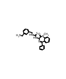 CN1C(=O)C(NC(=S)NCc2cccc(CN)c2)N=C(c2ccccc2)c2ccccc21